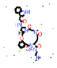 CN(C)CCNC(=O)[C@@H]1CCC(=O)N(C)CC(=O)N2C[C@@H](NC(=O)CC3CNc4ccccc43)C[C@H]2COc2ccc(F)cc2C(=O)N1C